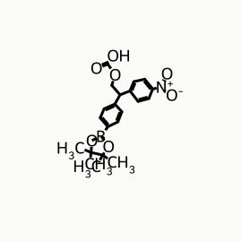 CC1(C)OB(c2ccc(C(COC(=O)O)c3ccc([N+](=O)[O-])cc3)cc2)OC1(C)C